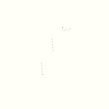 CC(=O)CCCN=O